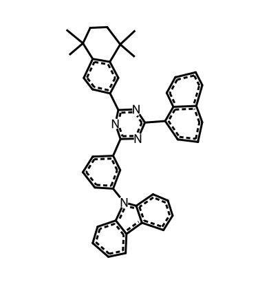 CC1(C)CCC(C)(C)c2cc(-c3nc(-c4cccc(-n5c6ccccc6c6ccccc65)c4)nc(-c4cccc5ccccc45)n3)ccc21